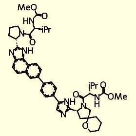 COC(=O)N[C@H](C(=O)N1C[C@]2(CCCCO2)C[C@H]1c1ncc(-c2ccc(-c3ccc4c(ccc5nc([C@@H]6CCCN6C(=O)[C@@H](NC(=O)OC)C(C)C)[nH]c54)c3)cc2)[nH]1)C(C)C